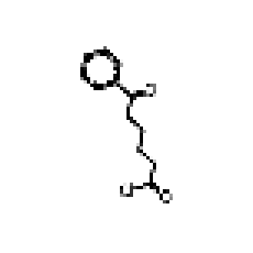 O=C(Cl)CCCCC(=O)c1ccccc1